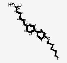 CCCCCCOc1ccc(-c2ccc(C/C=C/C=C/C(=O)O)cc2)cc1